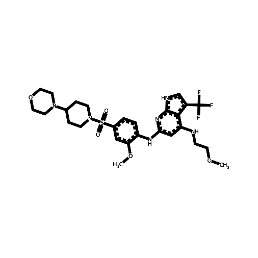 COCCNc1cc(Nc2ccc(S(=O)(=O)N3CCC(N4CCOCC4)CC3)cc2OC)nc2[nH]cc(C(F)(F)F)c12